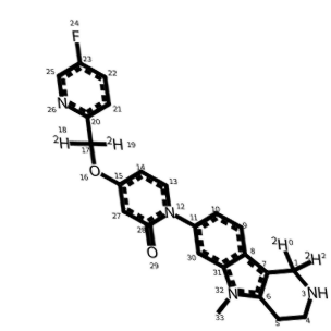 [2H]C1([2H])NCCc2c1c1ccc(-n3ccc(OC([2H])([2H])c4ccc(F)cn4)cc3=O)cc1n2C